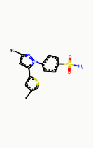 Cc1csc(-c2cc(C#N)nn2-c2ccc(S(N)(=O)=O)cc2)c1